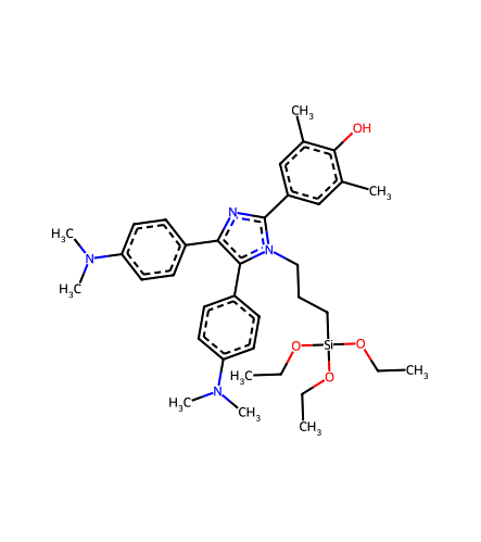 CCO[Si](CCCn1c(-c2cc(C)c(O)c(C)c2)nc(-c2ccc(N(C)C)cc2)c1-c1ccc(N(C)C)cc1)(OCC)OCC